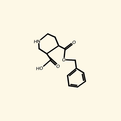 O=C(O)C1CNCCC1C(=O)OCc1ccccc1